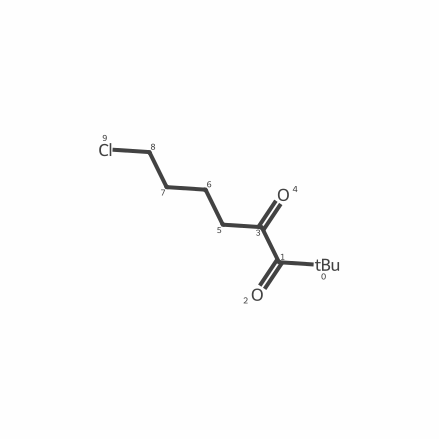 CC(C)(C)C(=O)C(=O)CCCCCl